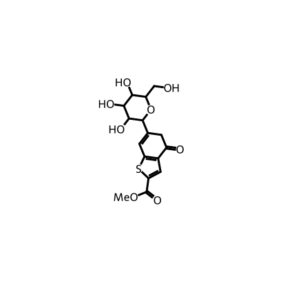 COC(=O)c1cc2c(s1)C=C(C1OC(CO)C(O)C(O)C1O)CC2=O